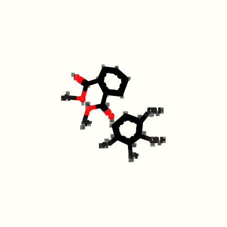 CCCOC(=O)c1ccccc1C(=O)OCCC.CCCc1ccc(C(=O)O)c(C(=O)O)c1CCC